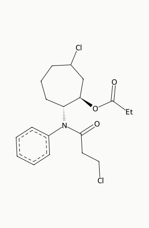 CCC(=O)O[C@@H]1CC(Cl)CCC[C@H]1N(C(=O)CCCl)c1ccccc1